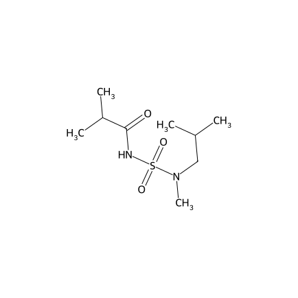 CC(C)CN(C)S(=O)(=O)NC(=O)C(C)C